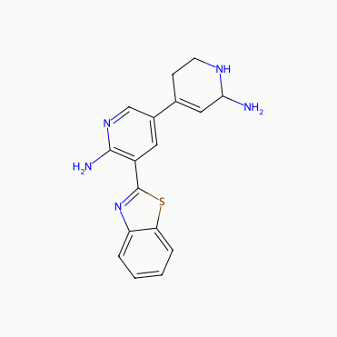 Nc1ncc(C2=CC(N)NCC2)cc1-c1nc2ccccc2s1